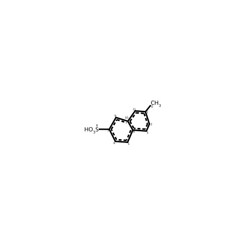 Cc1ccc2ccc(S(=O)(=O)O)cc2c1